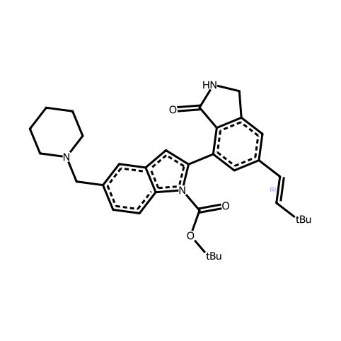 CC(C)(C)/C=C/c1cc2c(c(-c3cc4cc(CN5CCCCC5)ccc4n3C(=O)OC(C)(C)C)c1)C(=O)NC2